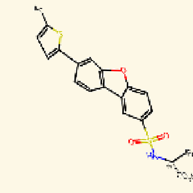 CC(=O)c1ccc(-c2ccc3c(c2)oc2ccc(S(=O)(=O)N[C@@H](C(=O)O)C(C)C)cc23)s1